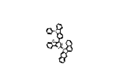 C1=Cc2ccc3c4cc5ccccc5cc4n(-c4nc(-c5ccc6c7ccccc7n(-c7ccccc7)c6c5)c5oc6ccccc6c5n4)c3c2CC1